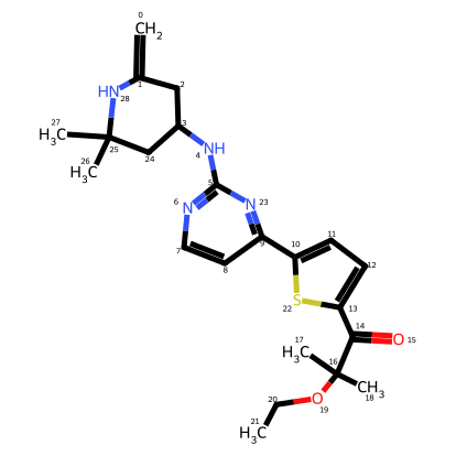 C=C1CC(Nc2nccc(-c3ccc(C(=O)C(C)(C)OCC)s3)n2)CC(C)(C)N1